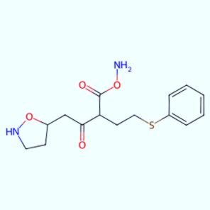 NOC(=O)C(CCSc1ccccc1)C(=O)CC1CCNO1